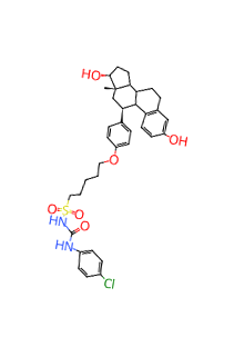 C[C@]12C[C@H](c3ccc(OCCCCCS(=O)(=O)NC(=O)Nc4ccc(Cl)cc4)cc3)C3c4ccc(O)cc4CCC3C1CC[C@@H]2O